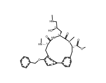 CNC[C@H](O)C[C@@H]1NC(=O)[C@@H](NC)Cc2cc(ccc2OCc2ccccc2)-c2cccc(c2)C[C@@H](C(=O)OC)N(C)C1=O